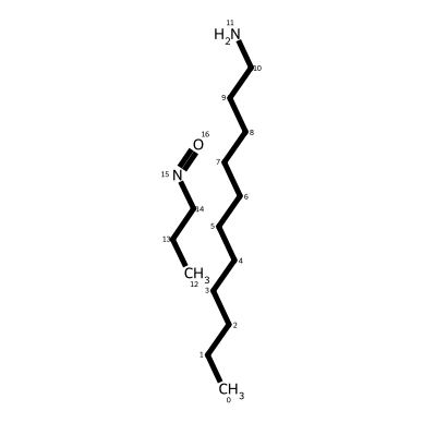 CCCCCCCCCCCN.CCCN=O